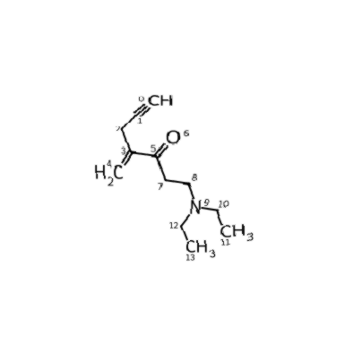 C#CCC(=C)C(=O)CCN(CC)CC